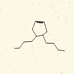 OCCCC1CC=CCC1CCCI